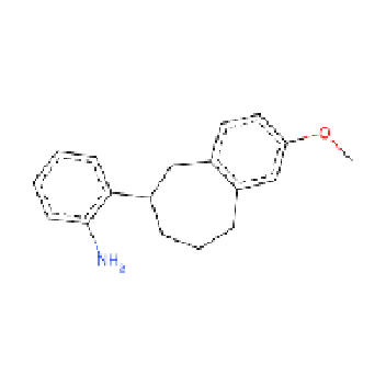 COc1ccc2c(c1)CCCC(c1ccccc1N)C2